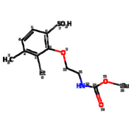 CCc1c(C)ccc(S(=O)(=O)O)c1OCCNC(=O)OC(C)(C)C